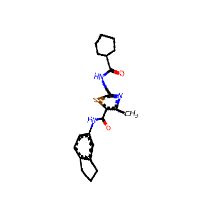 Cc1nc(NC(=O)C2CCCCC2)sc1C(=O)Nc1ccc2c(c1)CCC2